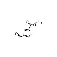 COC(=O)c1cc(C=O)co1